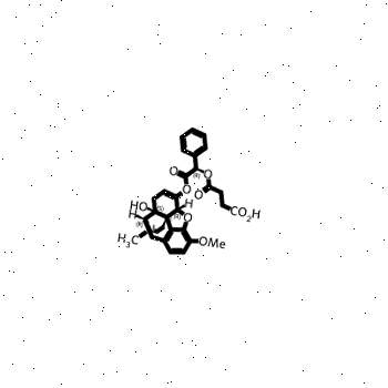 COc1ccc2c3c1O[C@H]1C(OC(=O)[C@H](OC(=O)CCC(=O)O)c4ccccc4)=CC[C@@]4(O)[C@@H](C2)N(C)CC[C@]314